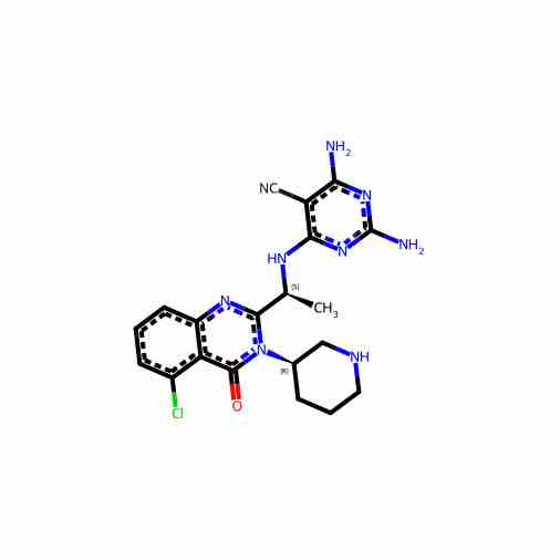 C[C@H](Nc1nc(N)nc(N)c1C#N)c1nc2cccc(Cl)c2c(=O)n1[C@@H]1CCCNC1